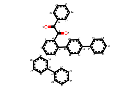 O=C(C(=O)c1ccccc1-c1ccc(-c2ccccc2)cc1)c1ccccc1.c1ccc(-c2ccccc2)cc1